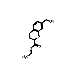 CCOC(=O)C1CCc2ccc(CO)cc2O1